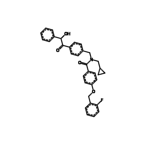 O=C(c1ccc(CN(CC2CC2)C(=O)c2ccc(OCc3ccccc3F)cc2)cc1)C(O)c1ccccc1